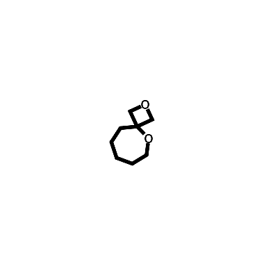 C1CCOC2(CC1)COC2